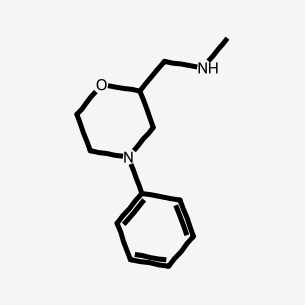 CNCC1CN(c2ccccc2)CCO1